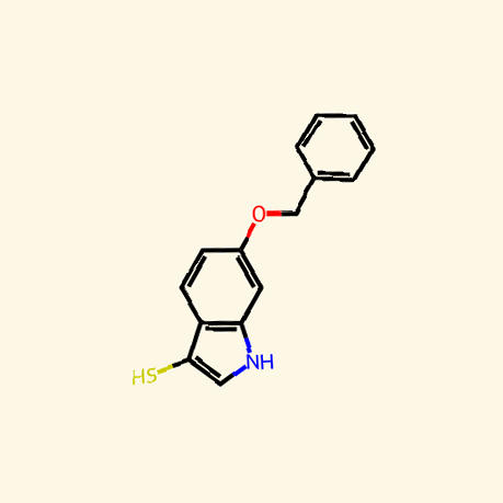 Sc1c[nH]c2cc(OCc3ccccc3)ccc12